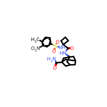 Cc1ccc(S(=O)(=O)NC2(C(=O)NC34CC5CC(C3)CC(C(N)=O)(C5)C4)CCC2)cc1[N+](=O)[O-]